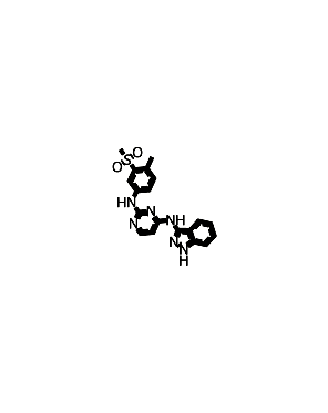 Cc1ccc(Nc2nccc(Nc3n[nH]c4ccccc34)n2)cc1S(C)(=O)=O